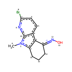 Cn1c2c(c3ccc(Br)nc31)/C(=N/O)CCC2